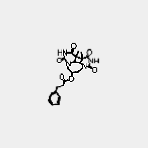 CC12C(=O)NC(=O)N3CC(OC(=O)CCc4ccccc4)CN4C(=O)NC(=O)C1(C)C4C32